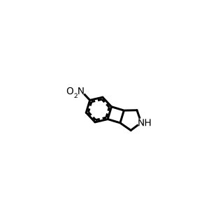 O=[N+]([O-])c1ccc2c(c1)C1CNCC21